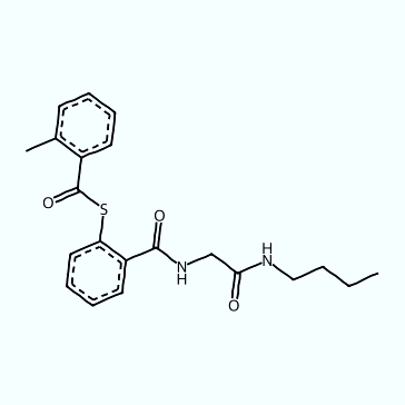 CCCCNC(=O)CNC(=O)c1ccccc1SC(=O)c1ccccc1C